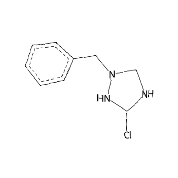 ClC1NCN(Cc2ccccc2)N1